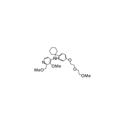 COCCOCCOc1ccc(C2(Nc3ccnc(COC)c3OC)CCCCC2)cc1